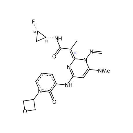 C=NN1C(NC)=CC(Nc2cccn(C3COC3)c2=O)=N/C1=C(/C)C(=O)N[C@@H]1C[C@@H]1F